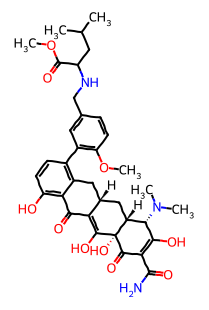 COC(=O)C(CC(C)C)NCc1ccc(OC)c(-c2ccc(O)c3c2C[C@@H]2C[C@@H]4[C@H](N(C)C)C(O)=C(C(N)=O)C(=O)[C@@]4(O)C(O)=C2C3=O)c1